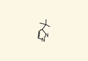 CC(C)(C)[C]1C=CN=N1